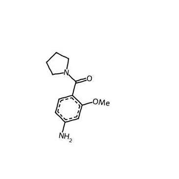 COc1cc(N)ccc1C(=O)N1CCCC1